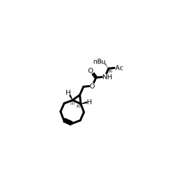 CCCC[C@@H](NC(=O)OCC1[C@H]2CCC#CCC[C@@H]12)C(C)=O